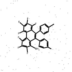 Bc1c(F)c(F)c(F)c2c1c(-c1ccc(C)cc1)c(-c1ccc(C)cc1)c1c(F)c(F)c(F)c(F)c12